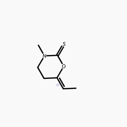 C/C=C1/CCN(C)C(=S)O1